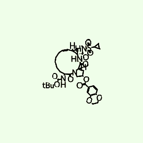 CC(C)(C)OC(=O)N[C@H]1CCCCC/C=C\[C@@H]2C[C@@]2(C(=O)NS(=O)(=O)C2CC2)NC(=O)[C@@H]2C[C@@H](OC(=O)c3ccc4c(c3)OCCO4)CN2C1=O